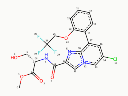 COC(=O)[C@H](CO)NC(=O)c1cn2cc(Cl)cc(-c3ccccc3OCC(F)(F)F)c2n1